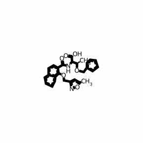 Cc1cc(COc2c(C(=O)NC(C(=O)O)[C@@H](C)OCc3ccccc3)ccc3ccccc23)no1